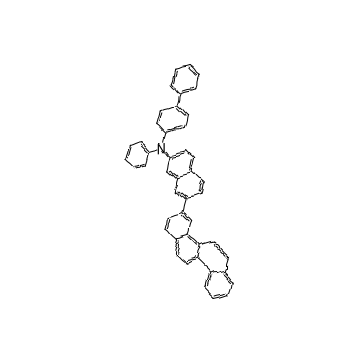 c1ccc(-c2ccc(N(c3ccccc3)c3ccc4ccc(-c5ccc6ccc7c8ccccc8ccc7c6c5)cc4c3)cc2)cc1